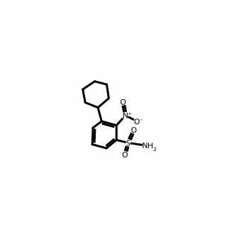 NS(=O)(=O)c1cccc(C2CCCCC2)c1[N+](=O)[O-]